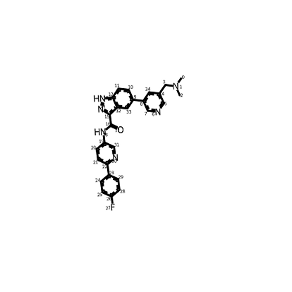 CN(C)Cc1cncc(-c2ccc3[nH]nc(C(=O)Nc4ccc(-c5ccc(F)cc5)nc4)c3c2)c1